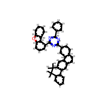 CC1(C)c2ccccc2-c2cc3ccc4ccc(-c5nc(-c6ccccc6)nc(-c6cccc7oc8ccccc8c67)n5)cc4c3cc2C1(C)C